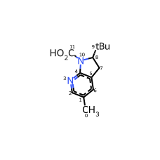 Cc1cnc2c(c1)CC(C(C)(C)C)N2C(=O)O